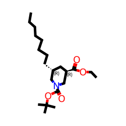 CCCCCCCC[C@@H]1C[C@@H](C(=O)OCC)CN(C(=O)OC(C)(C)C)C1